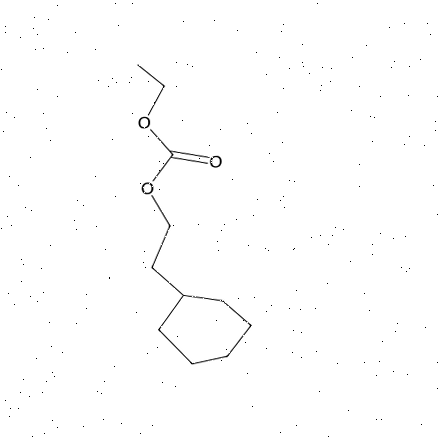 CCOC(=O)OCCC1CCCCC1